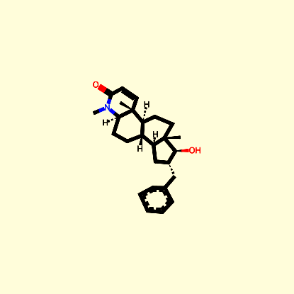 CN1C(=O)C=C[C@]2(C)[C@H]3CC[C@]4(C)[C@@H](O)[C@H](Cc5ccccc5)C[C@H]4[C@@H]3CC[C@@H]12